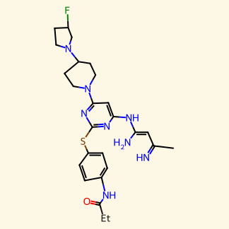 CCC(=O)Nc1ccc(Sc2nc(N/C(N)=C/C(C)=N)cc(N3CCC(N4CCC(F)C4)CC3)n2)cc1